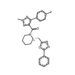 Cn1nc(C(=O)N2CCCC[C@H]2Cc2nnc(-c3ccccc3)o2)c(-c2ccc(F)cc2)n1